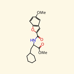 COC(=O)C(CC1CCCCC1)NC(=O)c1cc2cc(OC)ccc2o1